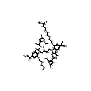 CCn1nc(C)cc1C(=O)Nc1nc2cc(C(N)=O)cc(OCCCOC)c2n1C/C=C/Cn1c2nc(-c3cc(C)nn3CC)ncc2c2cc(C(N)=O)cc(OCCOCCOCCC(=O)O)c21